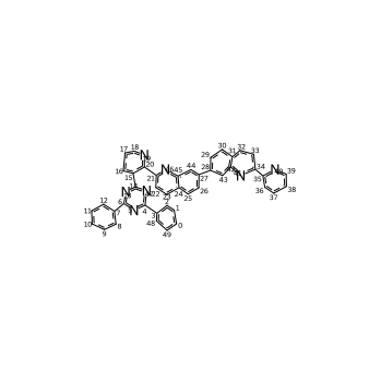 c1ccc(-c2nc(-c3ccccc3)nc(-c3cccnc3-c3ccc4ccc(-c5ccc6ccc(-c7ccccn7)nc6c5)cc4n3)n2)cc1